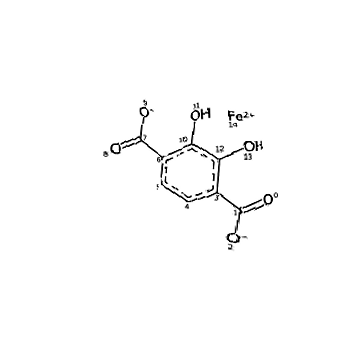 O=C([O-])c1ccc(C(=O)[O-])c(O)c1O.[Fe+2]